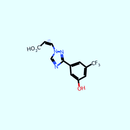 O=C(O)/C=C\n1cnc(-c2cc(O)cc(C(F)(F)F)c2)n1